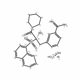 I.N=C(N)c1cccc(C[C@](N)(C(=O)N2CCCCC2)S(=O)(=O)c2cccc3cccnc23)c1.O=C(O)O